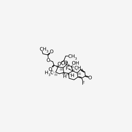 CCC(=O)OCC(=O)[C@]1(OC(=O)CC)[C@@H](C)C[C@H]2[C@@H]3CCC4=C(F)C(=O)C=C[C@]4(C)[C@@]3(F)[C@@H](O)C[C@@]21C